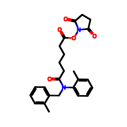 Cc1ccccc1CN(C(=O)CCCCC(=O)ON1C(=O)CCC1=O)c1ccccc1C